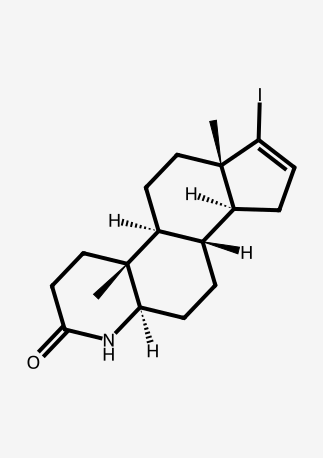 C[C@]12CCC(=O)N[C@@H]1CC[C@@H]1[C@@H]2CC[C@]2(C)C(I)=CC[C@@H]12